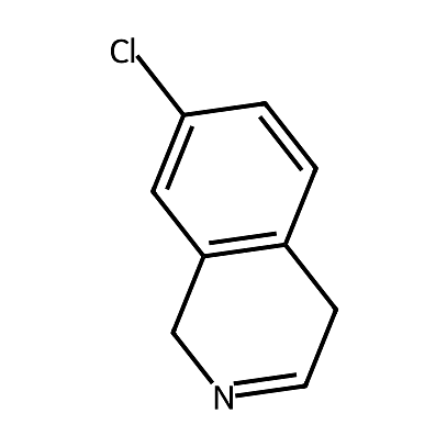 Clc1ccc2c(c1)CN=CC2